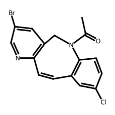 CC(=O)N1Cc2cc(Br)cnc2C=Cc2cc(Cl)ccc21